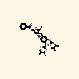 COC(=O)[C@@](N)(CCOC(=O)c1ccccc1)Cc1ccc(OC(=O)O[C@@H](C)C(C)C)c(OC(=O)OC(C)C(C)C)c1